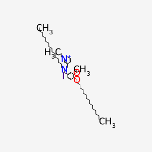 CCCCCCCCCCCCCCCCOc1ccc(CN(CCCCCCCCCCCCCCCC)Cc2ccc[n+](CCC)c2)cc1OC.[I-]